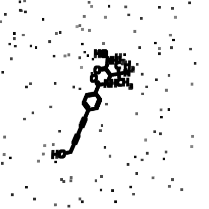 CC(C)(N)C(NC(=O)c1ccc(C#CC#CCO)cc1)C(=O)NO